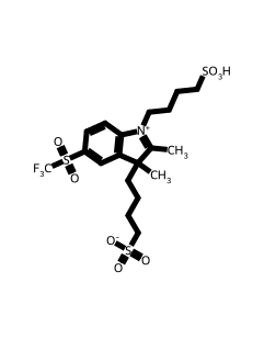 CC1=[N+](CCCCS(=O)(=O)O)c2ccc(S(=O)(=O)C(F)(F)F)cc2C1(C)CCCCS(=O)(=O)[O-]